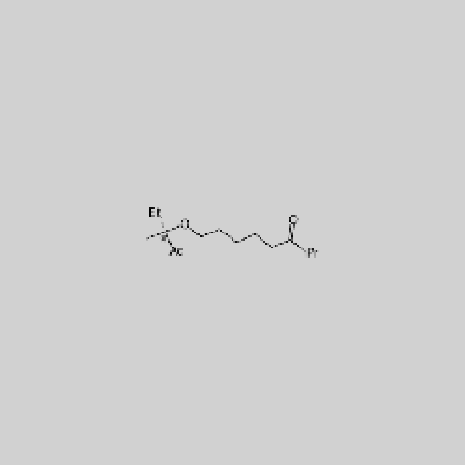 CC[C@](C)(OCCCCCC(=O)C(C)C)C(C)=O